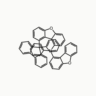 c1ccc(N(c2cccc3oc4ccccc4c23)c2cccc3oc4cccc(C5(c6ccccc6)c6ccccc6-c6ccccc65)c4c23)cc1